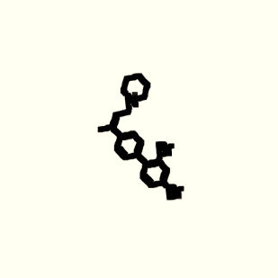 C/C(=C/CN1CCCCC1)c1ccc(-c2ccc(Br)cc2Br)cc1